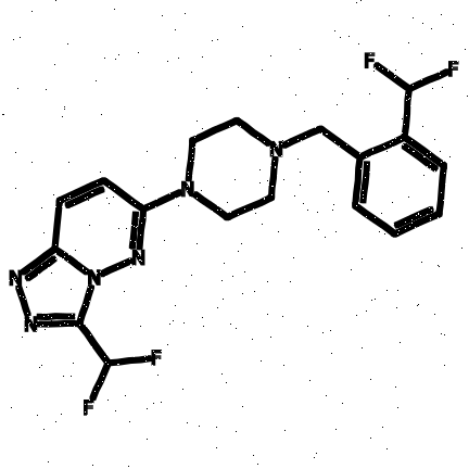 FC(F)c1ccccc1CN1CCN(c2ccc3nnc(C(F)F)n3n2)CC1